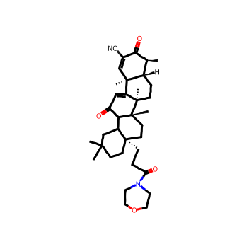 C[C@@H]1C(=O)C(C#N)=C[C@]2(C)C3=CC(=O)C4C5CC(C)(C)CC[C@]5(CCC(=O)N5CCOCC5)CC[C@@]4(C)[C@]3(C)CC[C@@H]12